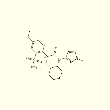 CCc1ccc([C@@H](CC2CCOCC2)C(=O)Nc2ccn(C)n2)c(S(N)(=O)=O)c1